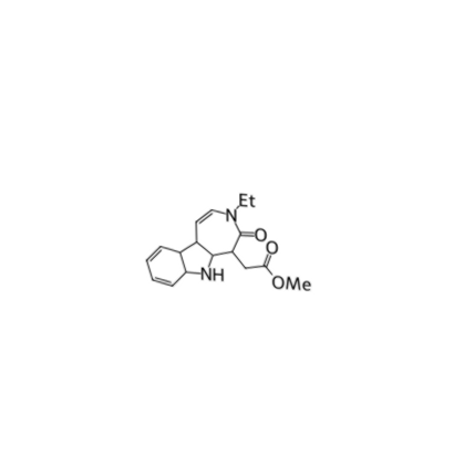 CCN1C=CC2C3C=CC=CC3NC2C(CC(=O)OC)C1=O